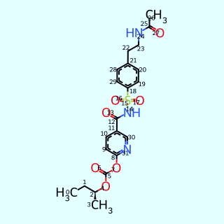 CC[C@H](C)OC(=O)Oc1ccc(C(=O)NS(=O)(=O)c2ccc(CCNC(C)=O)cc2)cn1